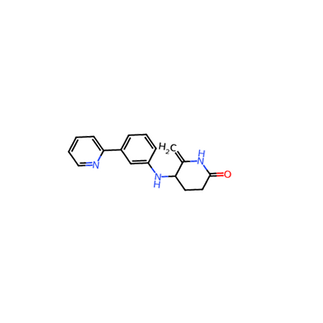 C=C1NC(=O)CCC1Nc1cccc(-c2ccccn2)c1